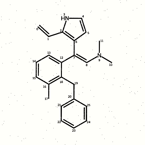 C=Cc1[nH]ccc1/C(=C\N(C)C)c1cccc(C)c1Cc1ccccc1